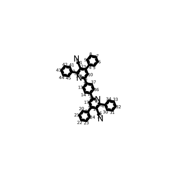 N#Cc1c(-c2ccccc2)cc(-c2ccc(-c3cc(-c4ccccc4)c(C#N)c(-c4ccccc4)n3)cc2)nc1-c1ccccc1